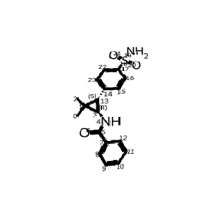 CC1(C)[C@H](NC(=O)c2ccccc2)[C@H]1c1ccc(S(N)(=O)=O)cc1